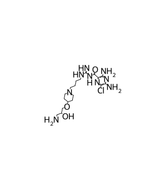 N=C(NCCCCN1CCC(OCC(O)CN)CC1)NC(=O)c1nc(Cl)c(N)nc1N